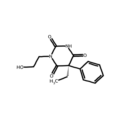 CC[C@@]1(c2ccccc2)C(=O)NC(=O)N(CCO)C1=O